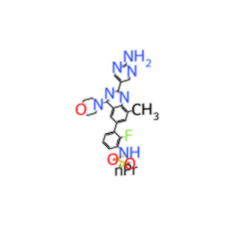 CCCS(=O)(=O)Nc1cccc(-c2cc(C)c3nc(-c4cnc(N)nc4)nc(N4CCOCC4)c3c2)c1F